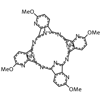 COc1ccc2c(n1)-c1nc-2nc2[nH]c(nc3[n+](I)c(nc4[nH]c(n1)c1ccc(OC)nc41)-c1ccc(OC)nc1-3)c1ccc(OC)nc21